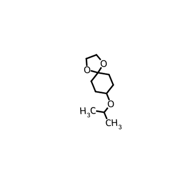 CC(C)OC1CCC2(CC1)OCCO2